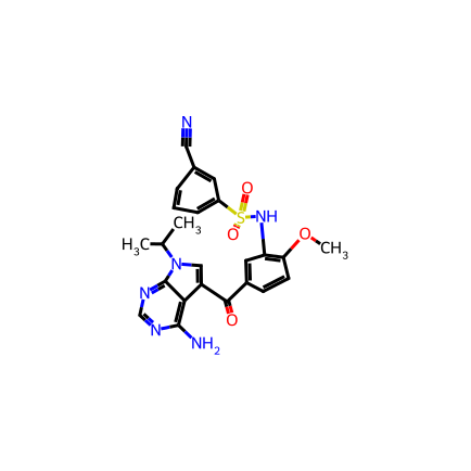 COc1ccc(C(=O)c2cn(C(C)C)c3ncnc(N)c23)cc1NS(=O)(=O)c1cccc(C#N)c1